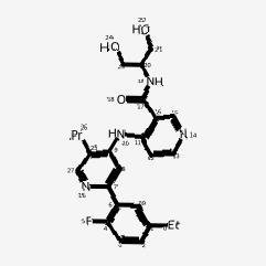 CCc1ccc(F)c(-c2cc(Nc3ccncc3C(=O)NC(CO)CO)c(C(C)C)cn2)c1